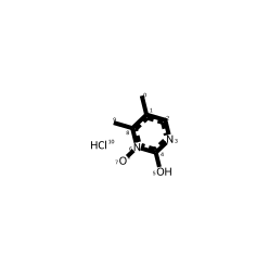 Cc1cnc(O)[n+]([O-])c1C.Cl